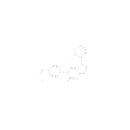 N/C(=N/O)c1ccc(-c2c(O)c3c(-c4ccccc4)c(Cl)sc3[nH]c2=O)cc1